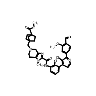 COC(=O)C12CCC(CN3CCc4c(nc(C(=O)Nc5cccc(-c6ccnc(-c7ccc(C=O)c(OC)c7)c6Cl)c5Cl)n4C)C3)(CC1)C2